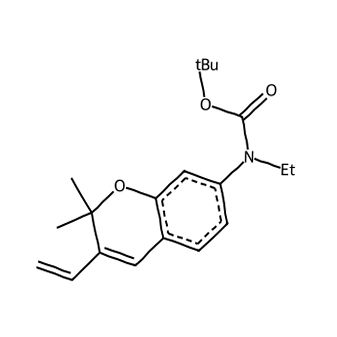 C=CC1=Cc2ccc(N(CC)C(=O)OC(C)(C)C)cc2OC1(C)C